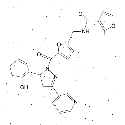 Cc1occc1C(=O)NCc1ccc(C(=O)N2N=C(c3cccnc3)CC2C2=C(O)CCC=C2)o1